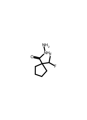 NNC(=O)C1(C(F)F)CCCC1